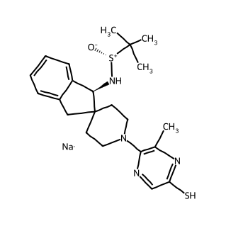 Cc1nc(S)cnc1N1CCC2(CC1)Cc1ccccc1[C@H]2N[S@+]([O-])C(C)(C)C.[Na]